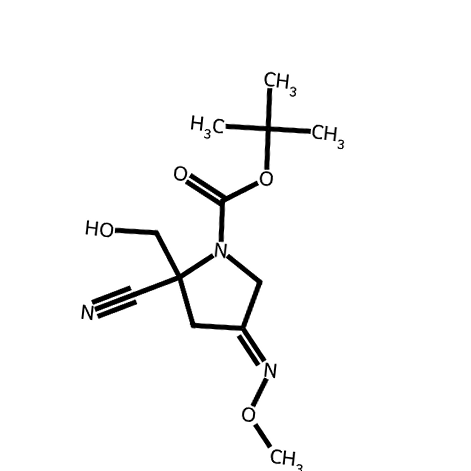 CON=C1CN(C(=O)OC(C)(C)C)C(C#N)(CO)C1